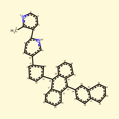 Cc1ncccc1-c1ccc(-c2cccc(-c3c4ccccc4c(-c4ccc5ccccc5c4)c4ccccc34)c2)cn1